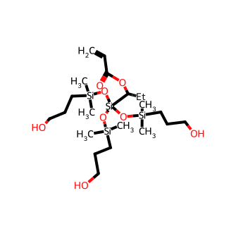 C=CC(=O)OC(CC)[Si](O[Si](C)(C)CCCO)(O[Si](C)(C)CCCO)O[Si](C)(C)CCCO